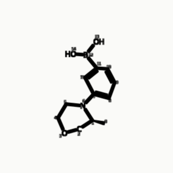 C[C@H]1COCCN1c1cccc(B(O)O)c1